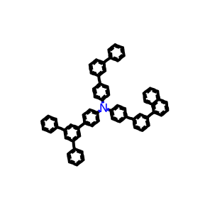 c1ccc(-c2cccc(-c3ccc(N(c4ccc(-c5cc(-c6ccccc6)cc(-c6ccccc6)c5)cc4)c4ccc(-c5cccc(-c6cccc7ccccc67)c5)cc4)cc3)c2)cc1